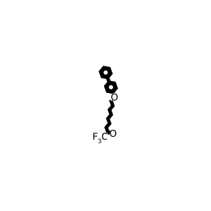 O=C(CCCCCCCOc1ccc(-c2ccccc2)cc1)C(F)(F)F